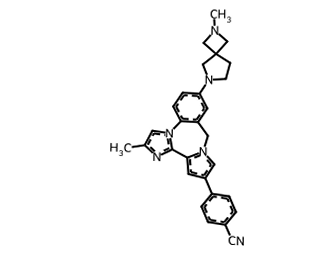 Cc1cn2c(n1)-c1cc(-c3ccc(C#N)cc3)cn1Cc1cc(N3CCC4(CN(C)C4)C3)ccc1-2